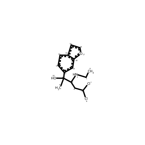 CCNC(CC(Cl)Cl)C(C)(O)c1ccc2ccoc2c1